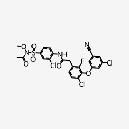 CON(C(C)=O)S(=O)(=O)c1ccc(NC(=O)Cc2ccc(Cl)c(Oc3cc(Cl)cc(C#N)c3)c2F)c(Cl)c1